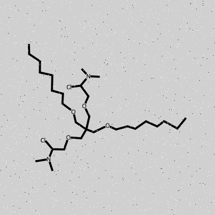 CCCCCCCCOCC(COCCCCCCCC)(COCC(Cl)N(C)C)COCC(Cl)N(C)C